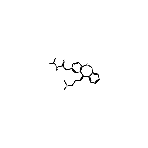 CC(C)NC(=O)Cc1ccc2c(c1)/C(=C\CCN(C)C)c1ccccc1CO2